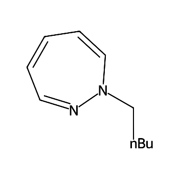 CCCCCN1C=CC=CC=N1